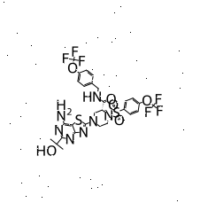 CC(C)(O)c1nc(N)c2sc(N3CCN(S(=O)(=O)c4ccc(OC(F)(F)F)cc4)[C@@H](C(=O)NCc4ccc(OC(F)(F)F)cc4)C3)nc2n1